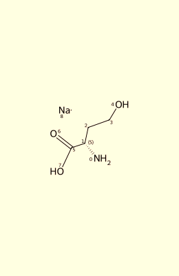 N[C@@H](CCO)C(=O)O.[Na]